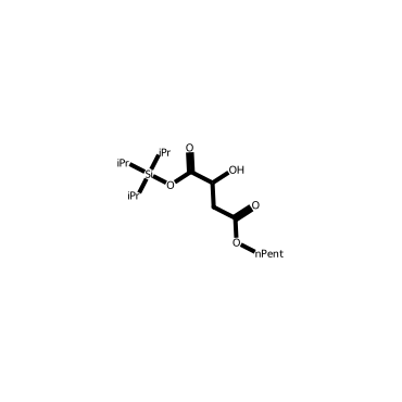 CCCCCOC(=O)CC(O)C(=O)O[Si](C(C)C)(C(C)C)C(C)C